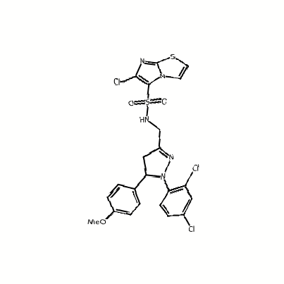 COc1ccc(C2CC(CNS(=O)(=O)c3c(Cl)nc4sccn34)=NN2c2ccc(Cl)cc2Cl)cc1